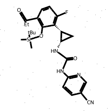 CCC(=O)c1ccc(F)c([C@@H]2C[C@@H]2NC(=O)Nc2ccc(C#N)cn2)c1O[Si](C)(C)C(C)(C)C